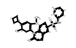 COC1=C(n2c(=O)ccc3cc(S(=O)(=O)Nc4cccnn4)ccc32)CC(Cl)C(C2CCC2)=C1